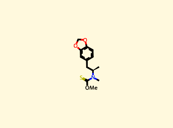 COC(=S)N(C)[C@H](C)Cc1ccc2c(c1)OCO2